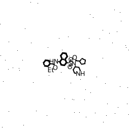 CCc1ccccc1C(=O)Nc1ccc(S(=O)(=O)N(C(=O)C2CCCC2)C2CCNCC2)c2ccccc12